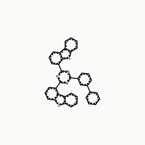 c1ccc(-c2cccc(-c3nc(-c4cccc5c4sc4ccccc45)nc(-c4cccc5sc6ccccc6c45)n3)c2)cc1